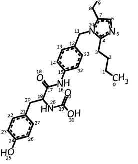 CCCCc1ncc(CO)n1Cc1ccc(NC(=O)C(Cc2ccc(O)cc2)NC(=O)O)cc1